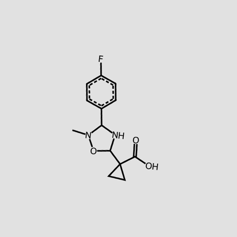 CN1OC(C2(C(=O)O)CC2)NC1c1ccc(F)cc1